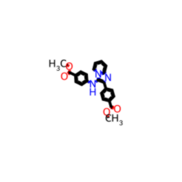 COC(=O)c1ccc(Nc2c(-c3ccc(C(=O)OC)cc3)nc3ccccn23)cc1